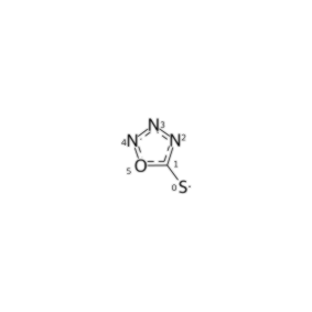 [S]c1nnno1